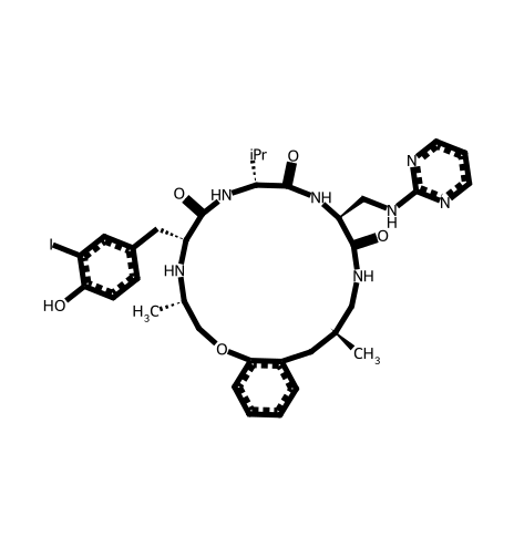 CC(C)[C@H]1NC(=O)[C@@H](Cc2ccc(O)c(I)c2)N[C@@H](C)COc2ccccc2C[C@H](C)CNC(=O)[C@H](CNc2ncccn2)NC1=O